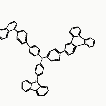 c1ccc2c(-c3ccc(-c4ccc(N(c5ccc(-c6ccc7c8ccccc8c8ccccc8c7c6)cc5)c5ccc(-n6c7ccccc7c7ccccc76)cc5)cc4)cc3)cccc2c1